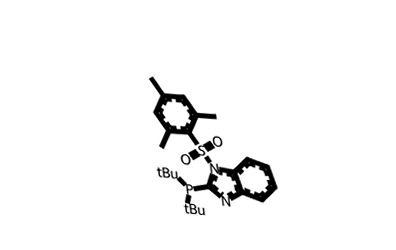 Cc1cc(C)c(S(=O)(=O)n2c(P(C(C)(C)C)C(C)(C)C)nc3ccccc32)c(C)c1